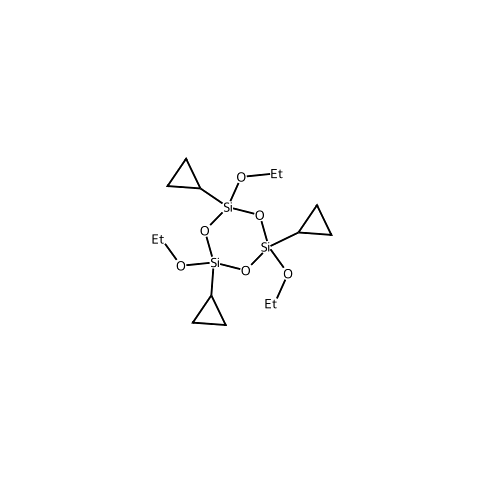 CCO[Si]1(C2CC2)O[Si](OCC)(C2CC2)O[Si](OCC)(C2CC2)O1